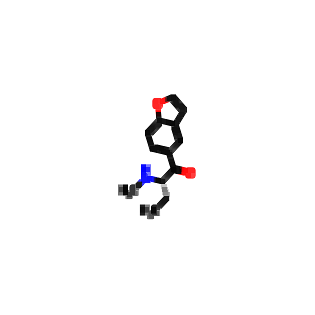 CC[C@H](NC)C(=O)c1ccc2occc2c1